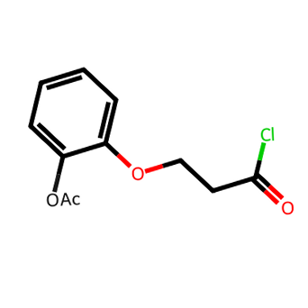 CC(=O)Oc1ccccc1OCCC(=O)Cl